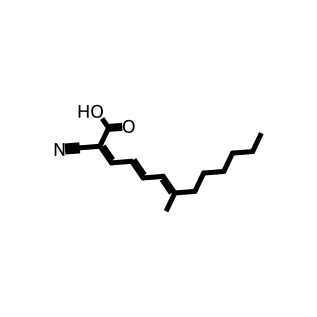 CCCCCCC(C)=CC=CC=C(C#N)C(=O)O